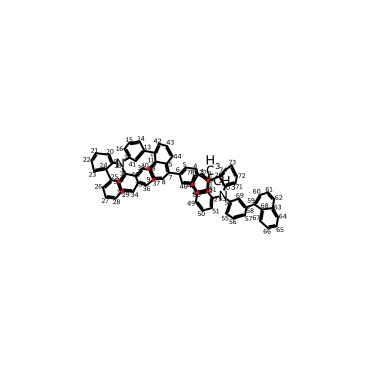 CC1(C)c2ccc(-c3cccc4c(-c5cccc(N(c6ccccc6-c6ccccc6)c6cccc7ccccc67)c5)cccc34)cc2-c2cccc(N(c3cccc(-c4cccc5ccccc45)c3)c3ccccc3-c3ccccc3)c21